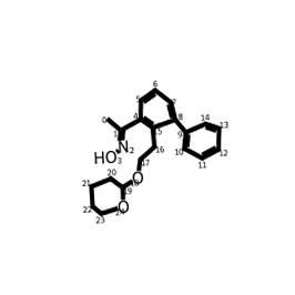 CC(=NO)c1cccc(-c2ccccc2)c1CCOC1CCCCO1